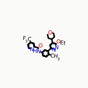 CCOc1nnc(-c2cc(NC(=O)c3cc(C(F)(F)F)ccn3)ccc2C)cc1C1CCOCC1